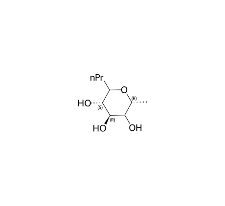 CCCC1O[C@H](C)C(O)[C@@H](O)[C@@H]1O